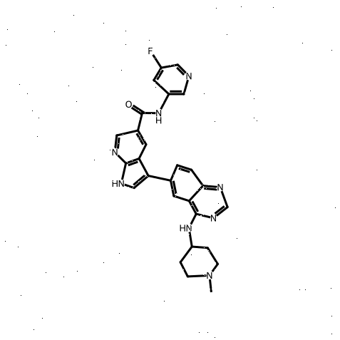 CN1CCC(Nc2ncnc3ccc(-c4c[nH]c5ncc(C(=O)Nc6cncc(F)c6)cc45)cc23)CC1